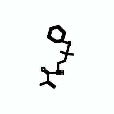 C=C(C)C(=O)NCCC(C)(C)Sc1ccccc1